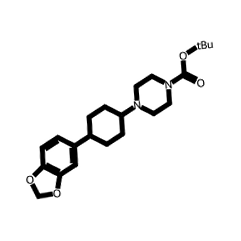 CC(C)(C)OC(=O)N1CCN(C2CCC(c3ccc4c(c3)OCO4)CC2)CC1